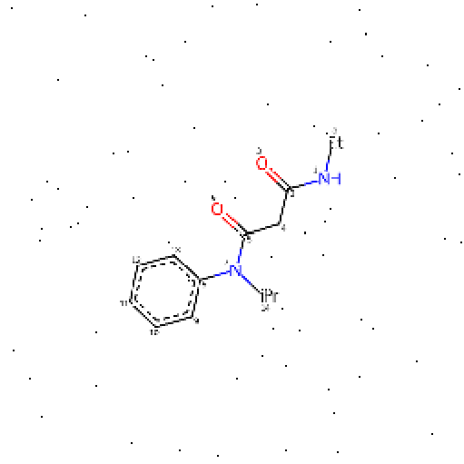 CCNC(=O)CC(=O)N(c1ccccc1)C(C)C